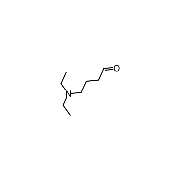 CCN(CC)CCCC=O